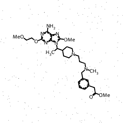 COCCOc1nc(N)c2nc(OC)n(C(C)C3CCN(CCCN(C)Cc4cccc(CC(=O)OC)c4)CC3)c2n1